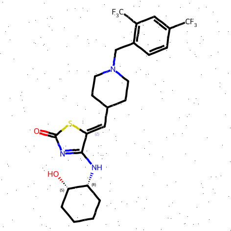 O=C1N=C(N[C@@H]2CCCC[C@@H]2O)/C(=C/C2CCN(Cc3ccc(C(F)(F)F)cc3C(F)(F)F)CC2)S1